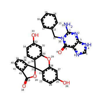 Nc1nc2[nH]cnc2c(=O)n1Cc1ccccc1.O=C1OC2(c3ccc(O)cc3Oc3cc(O)ccc32)c2ccccc21